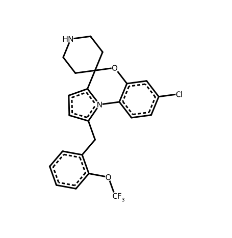 FC(F)(F)Oc1ccccc1Cc1ccc2n1-c1ccc(Cl)cc1OC21CCNCC1